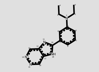 CCN(CC)c1cccc(-c2nc3cnncc3[nH]2)c1